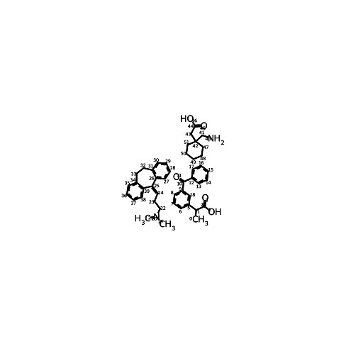 CC(C(=O)O)c1cccc(C(=O)c2ccccc2)c1.CN(C)CCC=C1c2ccccc2CCc2ccccc21.NCC1(CC(=O)O)CCCCC1